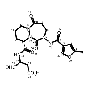 Cc1cc(C(=O)NN2CCC(=O)N3CCC[C@@H](C(=O)N[C@H](C=O)CC(=O)O)N3C2=O)no1